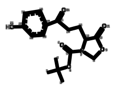 CC(C)(C)OC(=O)N1COC(=O)C1CCC(=O)c1ccc(O)cc1